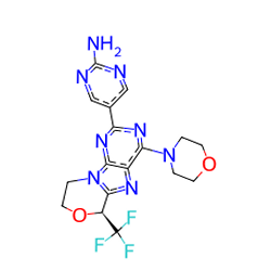 Nc1ncc(-c2nc(N3CCOCC3)c3nc4n(c3n2)CCO[C@@H]4C(F)(F)F)cn1